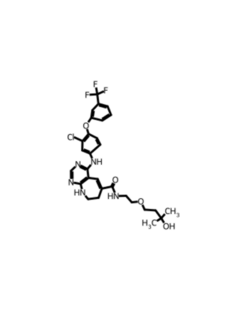 CC(C)(O)CCOCCNC(=O)C1=Cc2c(ncnc2Nc2ccc(Oc3cccc(C(F)(F)F)c3)c(Cl)c2)NCC1